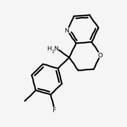 Cc1ccc(C2(N)CCOc3cccnc32)cc1F